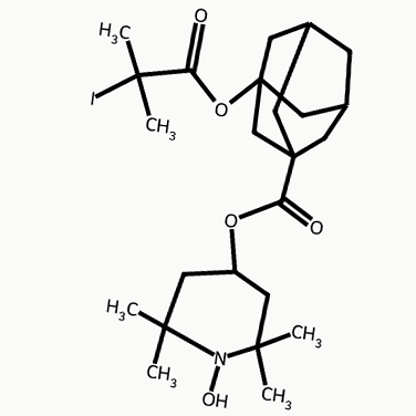 CC(C)(I)C(=O)OC12CC3CC(C1)CC(C(=O)OC1CC(C)(C)N(O)C(C)(C)C1)(C3)C2